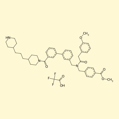 COC(=O)c1ccc(CN(Cc2cccc(-c3cccc(C(=O)N4CCC(CCCC5CCNCC5)CC4)c3)c2)C(=O)Cc2cccc(OC)c2)cc1.O=C(O)C(F)(F)F